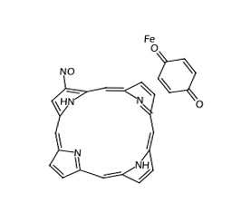 O=C1C=CC(=O)C=C1.O=Nc1cc2cc3nc(cc4ccc(cc5nc(cc1[nH]2)C=C5)[nH]4)C=C3.[Fe]